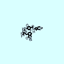 COc1cc(C(=O)NC2CC3(CCN(C)CC3)C2)c(F)cc1Nc1ncc(C(F)(F)F)c(Cc2cccc3c2C(=O)N(OC)C3)n1